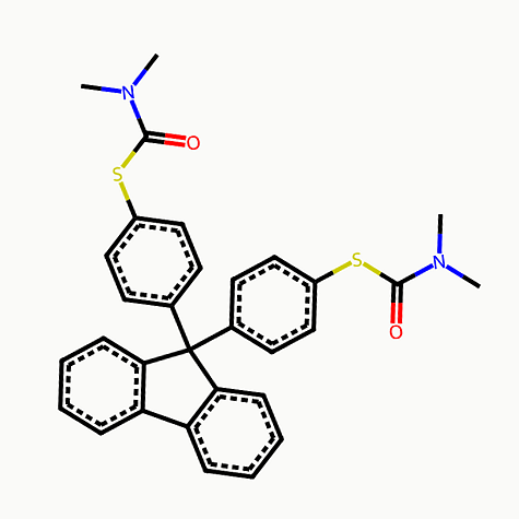 CN(C)C(=O)Sc1ccc(C2(c3ccc(SC(=O)N(C)C)cc3)c3ccccc3-c3ccccc32)cc1